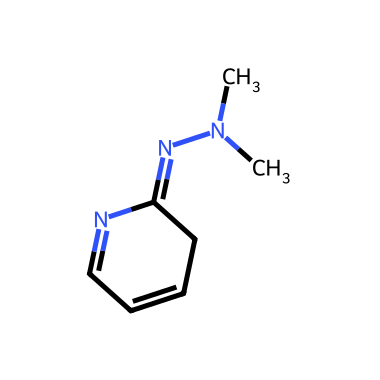 CN(C)/N=C1\CC=CC=N1